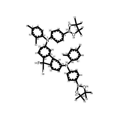 Cc1ccc(N(c2ccc(B3OC(C)(C)C(C)(C)O3)cc2)c2ccc3c(c2)-c2cc(N(c4ccc(B5OC(C)(C)C(C)(C)O5)cc4)c4ccc(C)cc4C)ccc2C3(F)F)c(C)c1